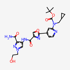 CC(C)(C)OC(=O)N(CC1CC1)c1cc(-c2nc(C(=O)Nc3cn(CCO)nc3C(N)=O)co2)ccn1